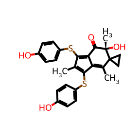 CC1=C(Sc2ccc(O)cc2)C2=C(C)C3(CC3)[C@@](C)(O)C(=O)C2=C1Sc1ccc(O)cc1